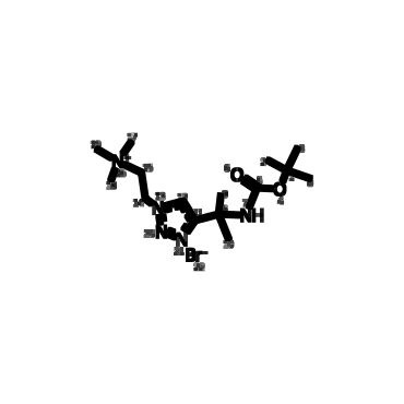 CC(C)(C)OC(=O)NC(C)(C)c1cn(CC[N+](C)(C)C)nn1.[Br-]